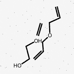 C=C.C=CCOCC=C.OCCO